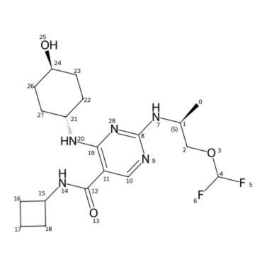 C[C@@H](COC(F)F)Nc1ncc(C(=O)NC2CCC2)c(N[C@H]2CC[C@H](O)CC2)n1